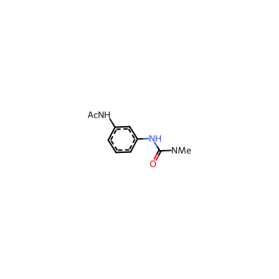 CNC(=O)Nc1cccc(NC(C)=O)c1